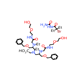 CCC(Br)(CC)C(=O)NC(N)=O.CCN(CC(=O)NCCOCCO)C(COCc1ccccc1)CN(CC(=O)O)CC(COCc1ccccc1)N(CC)CC(=O)NCCOCCO